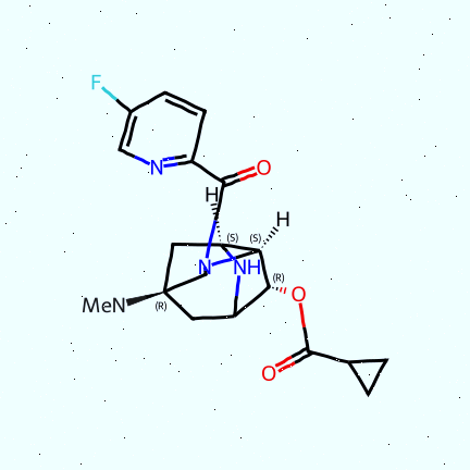 CN[C@@]12CC3N[C@@H](C1)[C@@H]([C@@H]3OC(=O)C1CC1)N(C(=O)c1ccc(F)cn1)C2